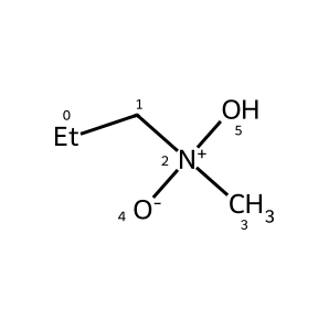 CCC[N+](C)([O-])O